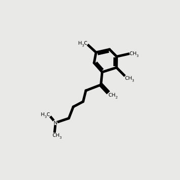 C=C(CCCCN(C)C)c1cc(C)cc(C)c1C